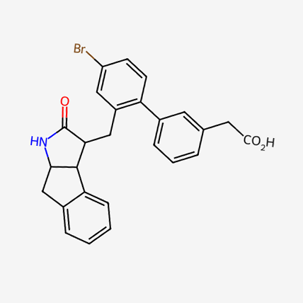 O=C(O)Cc1cccc(-c2ccc(Br)cc2CC2C(=O)NC3Cc4ccccc4C32)c1